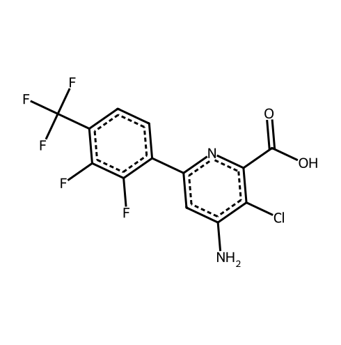 Nc1cc(-c2ccc(C(F)(F)F)c(F)c2F)nc(C(=O)O)c1Cl